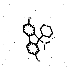 [CH3][Zr]([CH3])[C]1(C2CCCCC2)c2cc(C(C)(C)C)ccc2-c2ccc(C(C)(C)C)cc21